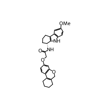 COc1ccc2[nH]c3c(c2c1)CCC[C@H]3NC(=O)COc1ccc2c(c1)OCC1=C2CCCC1